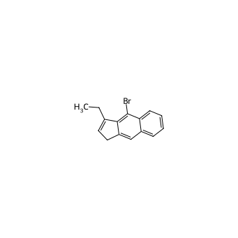 CCC1=CCc2cc3ccccc3c(Br)c21